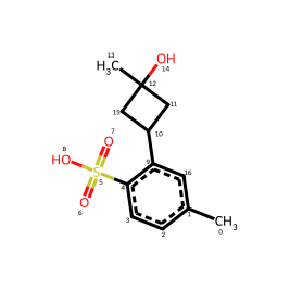 Cc1ccc(S(=O)(=O)O)c(C2CC(C)(O)C2)c1